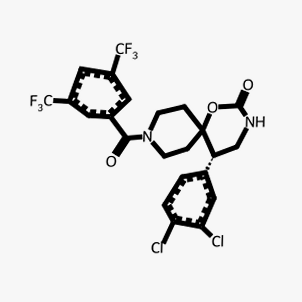 O=C1NC[C@H](c2ccc(Cl)c(Cl)c2)C2(CCN(C(=O)c3cc(C(F)(F)F)cc(C(F)(F)F)c3)CC2)O1